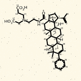 C=C(C)[C@@H]1CC[C@]2(C(=O)NCCN(CCC(=O)O)CC(=O)O)CC[C@]3(C)[C@H](CC[C@@H]4[C@@]5(C)CC=C(c6ccccc6)C(C)(C)[C@@H]5CC[C@]43C)[C@@H]12